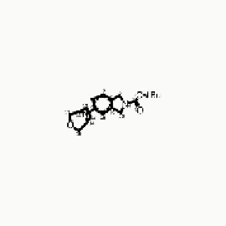 CC(C)(C)OC(=O)N1Cc2ccc(N3C4CCC3COC4)cc2C1